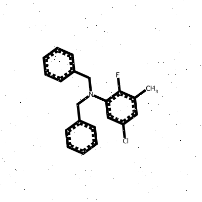 Cc1cc(Cl)cc(N(Cc2ccccc2)Cc2ccccc2)c1F